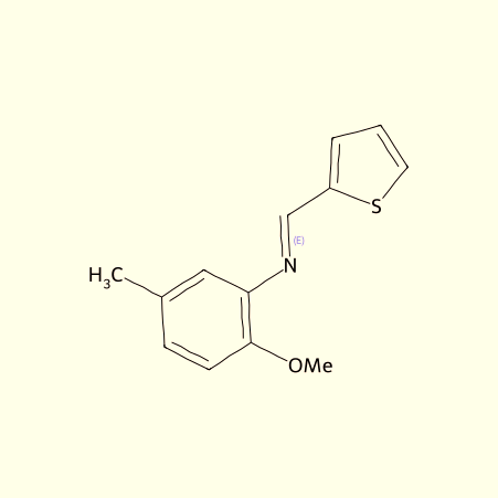 COc1ccc(C)cc1/N=C/c1cccs1